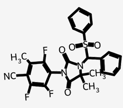 Cc1c(F)c(N2C(=O)N(C(c3ccccc3)S(=O)(=O)c3ccccc3)C(C)(C)C2=O)c(F)c(F)c1C#N